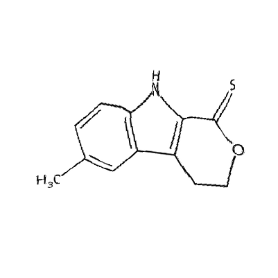 Cc1ccc2[nH]c3c(c2c1)CCOC3=S